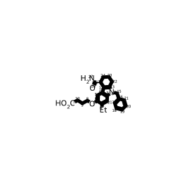 CCc1cc2c(cc1OCCCC(=O)O)c1c(n2Cc2ccccc2)CCC[C@@H]1C(N)=O